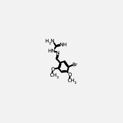 COc1cc(OC)c(/C=N/NC(=N)N)cc1Br